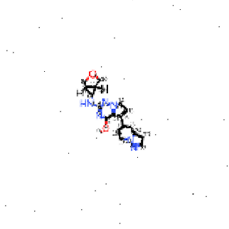 COc1nc(N[C@@H]2[C@@H]3COC[C@@H]32)nn2ccc(-c3ccn4nccc4c3)c12